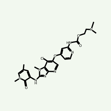 Cc1cc(Nc2nc3ncc(Oc4ccnc(NC(=O)OCCN(C)C)c4)c(Cl)c3n2C)c(=O)n(C)c1